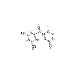 Cc1ccc(Cl)cc1C(=O)c1cc(Cl)cc(C#N)c1